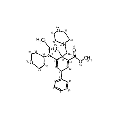 CCN(C1=CC(c2ccccc2)C=C(C(=O)OC)C1(C)CN1CCOCC1)C1CCOCC1